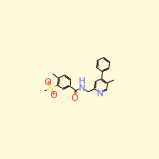 Cc1cnc(CNC(=O)c2ccc(C)c(S(C)(=O)=O)c2)cc1-c1ccccc1